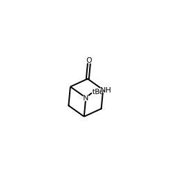 CC(C)(C)N1C2CNC(=O)C1C2